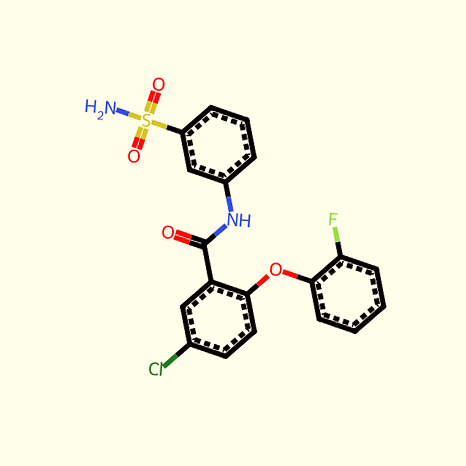 NS(=O)(=O)c1cccc(NC(=O)c2cc(Cl)ccc2Oc2ccccc2F)c1